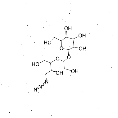 [N-]=[N+]=NC[C@H](O)C(CO)O[C@@H](CO)O[C@H]1OC(CO)[C@@H](O)C(O)C1O